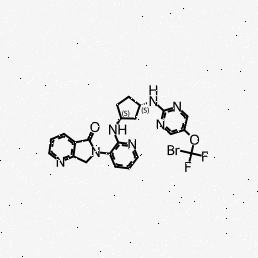 O=C1c2cccnc2CN1c1cccnc1N[C@H]1CC[C@H](Nc2ncc(OC(F)(F)Br)cn2)C1